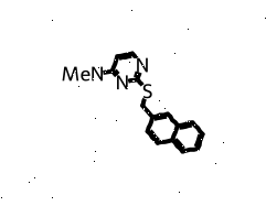 CNc1ccnc(SCc2ccc3ccccc3c2)n1